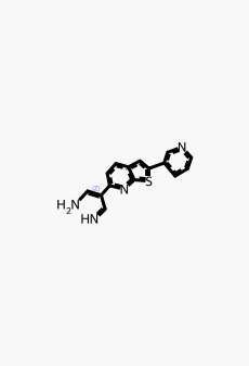 N=C/C(=C\N)c1ccc2cc(-c3cccnc3)sc2n1